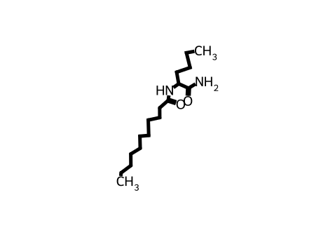 CCCCCCCCCCC(=O)NC(CCCC)C(N)=O